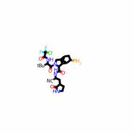 CC(C)(C)C(NC(=O)C(F)(F)Cl)C(=O)N1CC2C3CC(P)C(C3)C2C1C(=O)NC(C#N)CC1CCNC1=O